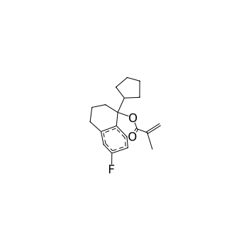 C=C(C)C(=O)OC1(C2CCCC2)CCCc2cc(F)ccc21